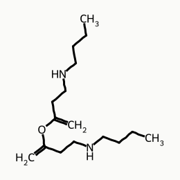 C=C(CCNCCCC)OC(=C)CCNCCCC